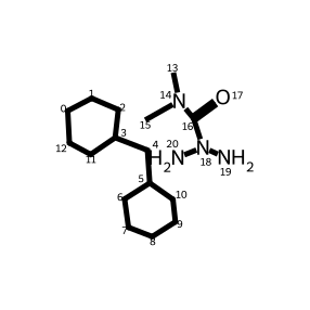 C1CCC(CC2CCCCC2)CC1.CN(C)C(=O)N(N)N